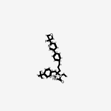 CCN1C(=O)NNC1(CCCc1ccc(-c2ccc(C3(F)COC3)nc2)cc1)Cc1ccc(C(C)(C)C)cc1